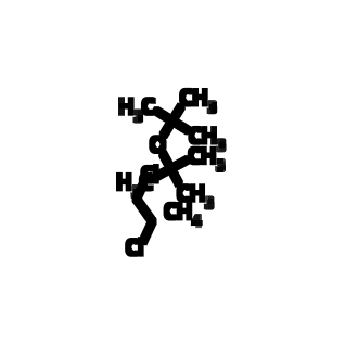 C.CC(C)(C)OC(C)(C)C.ClCCCl